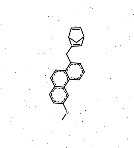 COc1ccc2ccc3c(CC4=CC5C=CC4C5)cccc3c2c1